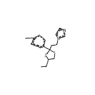 CCC1CSC(CCn2ccnc2)(c2ccc(C)cc2)S1